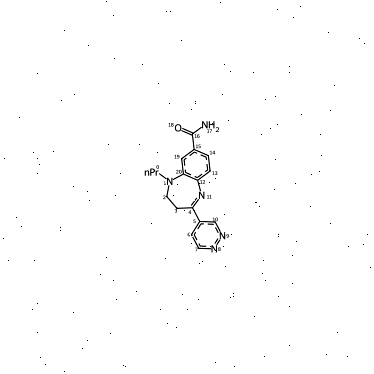 CCCN1CCC(c2ccnnc2)=Nc2ccc(C(N)=O)cc21